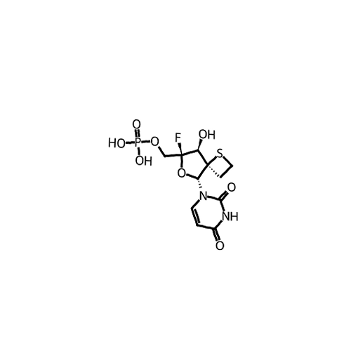 O=c1ccn([C@@H]2O[C@](F)(COP(=O)(O)O)[C@@H](O)[C@]23CCS3)c(=O)[nH]1